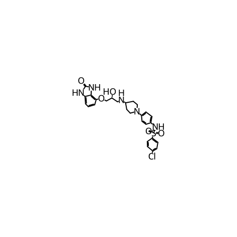 O=c1[nH]c2cccc(OC[C@@H](O)CNC3CCN(c4ccc(NS(=O)(=O)c5ccc(Cl)cc5)cc4)CC3)c2[nH]1